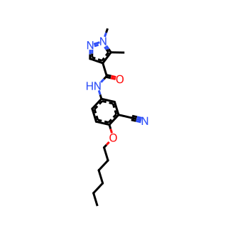 CCCCCCOc1ccc(NC(=O)c2cnn(C)c2C)cc1C#N